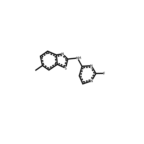 Cc1ccc2nc(Nc3ccnc(F)n3)sc2c1